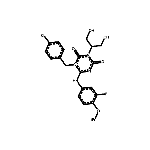 CC(C)Oc1ccc(Nc2nc(=O)n(C(CO)CO)c(=O)n2Cc2ccc(Cl)cc2)cc1F